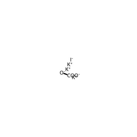 O=C([O-])[O-].[I-].[K+].[K+].[K+]